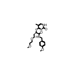 COCCOCC[C@@H](Sc1nc(=O)[nH]cc1C)C(=O)NCc1ccc(OC)cc1